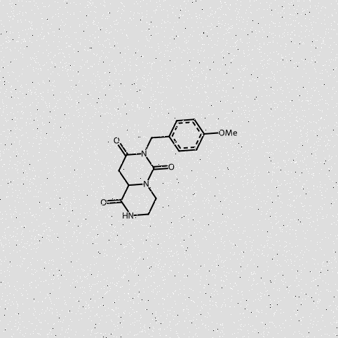 COc1ccc(CN2C(=O)CC3C(=O)NCCN3C2=O)cc1